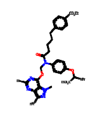 CCCc1nn(C)c2c(OCN(C(=O)CCCCc3ccc(C(=O)OCC)cc3)c3ccc(OC(CCC)C(=O)OCC)cc3)nc(CC)nc12